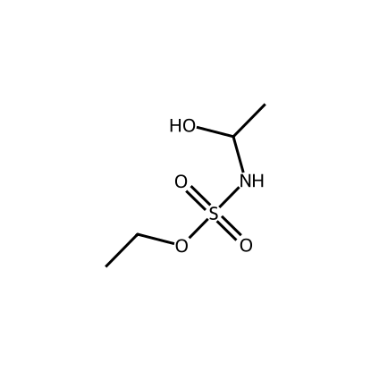 CCOS(=O)(=O)NC(C)O